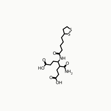 NC(=O)C(CCC(=O)O)C(CCC(=O)O)NC(=O)CCCCC1CCSS1